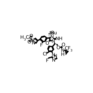 CC(C)(C)C[C@]1(c2ccc(-c3cnn(S(C)(=O)=O)c3)c(F)c2)NC(=N)N([C@H](COC(=O)NC2(C(F)(F)F)CC2)c2ccc(Cl)c(-n3ncnc3CF)c2)C1=O